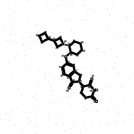 O=C1CCC(N2Cc3cc(O[C@@H]4CCCC[C@H]4N4CC(C5CCC5)C4)ccc3C2=O)C(=O)N1